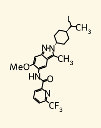 COc1cc2nn([C@H]3CC[C@H](C(C)I)CC3)c(C)c2cc1NC(=O)c1cccc(C(F)(F)F)n1